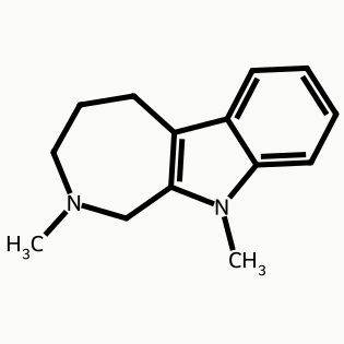 CN1CCCc2c(n(C)c3ccccc23)C1